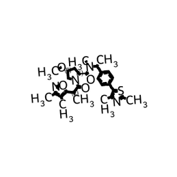 CO[C@@H]1C[C@@H](C(=O)N(C)C(C)c2ccc(-c3sc(C)nc3C)cc2)N(C(=O)[C@H](C)c2onc(C)c2C)C1